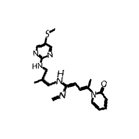 C=N/C(=C\C=C(/C)n1ccccc1=O)NCC(C)CNc1ncc(SC)cn1